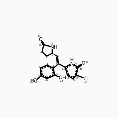 CC(C)(C)c1ccc(/C(=C\[C@H]2CCC(=O)N2)c2ccc(Cl)c(=O)[nH]2)c(O)c1